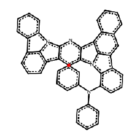 c1ccc(N(c2ccccc2)c2cccc3c4cc5ccccc5c5c6nc7c(cc6n(c23)c45)c2cccc3c4ccccc4n7c32)cc1